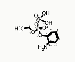 CCOP(=O)(Oc1ccccc1N)OP(=O)(O)O